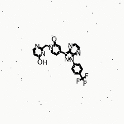 O=c1cc(-c2nn(-c3ccc(C(F)(F)F)cc3)c3nccnc23)ccn1Cc1nccc(O)n1